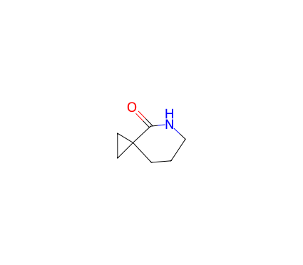 O=C1NCCCC12CC2